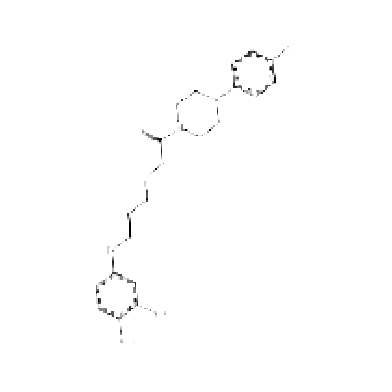 O=C(COCCCNc1ccc([N+](=O)[O-])c(C(F)(F)F)c1)N1CCN(c2ccc(Cl)cc2)CC1